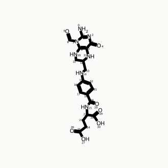 Nc1nc(=O)c2c(n1C=O)NCC(CNc1ccc(C(=O)NC(CCC(=O)O)C(=O)O)cc1)N2